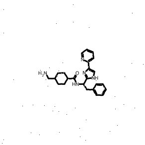 NCC1CCC(C(=O)NC(Cc2ccccc2)c2nc(-c3ccccn3)c[nH]2)CC1